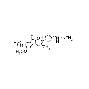 CCCNCc1ccc(NC(C)C=C2C(=O)Nc3cc(OC)c(OC)cc32)cc1